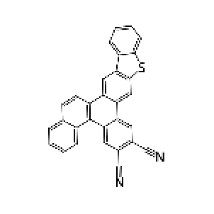 N#Cc1cc2c3cc4sc5ccccc5c4cc3c3ccc4ccccc4c3c2cc1C#N